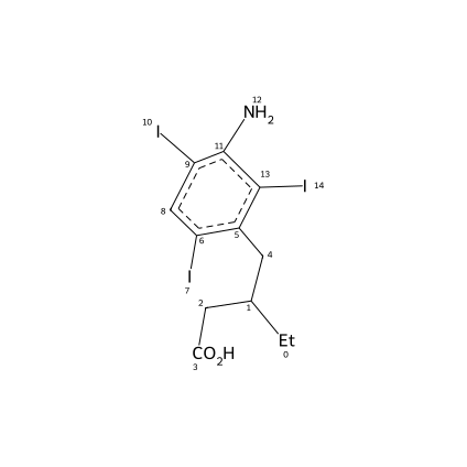 CCC(CC(=O)O)Cc1c(I)cc(I)c(N)c1I